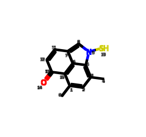 Cc1cc(C)c2c3c(cn2S)C=CC(=O)c13